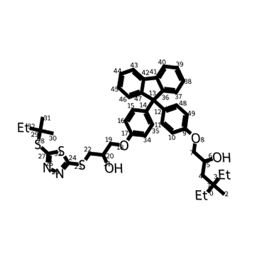 CCC(C)(CC)CC(O)COc1ccc(C2(c3ccc(OCC(O)CSc4nnc(SC(C)(C)CC)s4)cc3)c3ccccc3-c3ccccc32)cc1